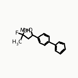 COC(CC(C)(C)F)c1ccc(-c2ccccc2)cc1